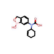 O=C(O)N(c1ccc2c(c1)B(O)OC2)C1C=CCCC1